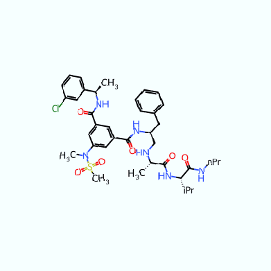 CCCNC(=O)[C@@H](NC(=O)[C@H](C)NC[C@H](Cc1ccccc1)NC(=O)c1cc(C(=O)N[C@H](C)c2cccc(Cl)c2)cc(N(C)S(C)(=O)=O)c1)C(C)C